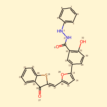 O=C(NNc1ccccc1)c1cc(-c2ccc(C=C3Sc4ccccc4C3=O)o2)ccc1O